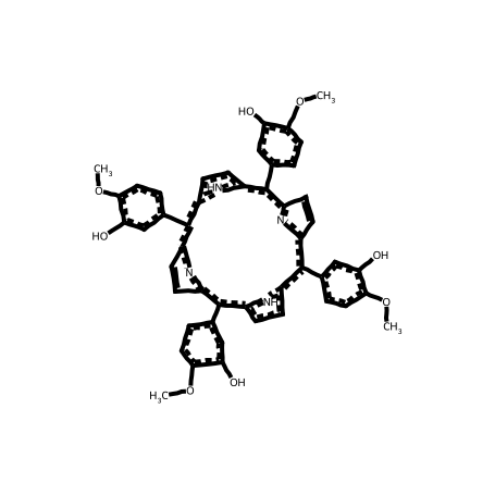 COc1ccc(-c2c3nc(c(-c4ccc(OC)c(O)c4)c4ccc([nH]4)c(-c4ccc(OC)c(O)c4)c4nc(c(-c5ccc(OC)c(O)c5)c5ccc2[nH]5)C=C4)C=C3)cc1O